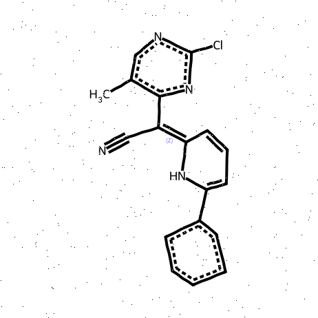 Cc1cnc(Cl)nc1/C(C#N)=C1\C=CC=C(c2ccccc2)N1